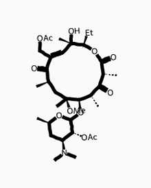 CC[C@H]1OC(=O)[C@H](C)C(=O)[C@H](C)[C@@H](OC2O[C@H](C)C[C@H](N(C)C)[C@H]2OC(C)=O)[C@@](C)(OC)C[C@@H](C)C(=O)/C(COC(C)=O)=C/[C@]1(C)O